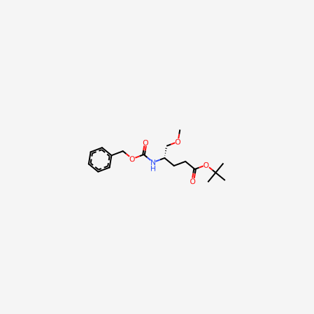 COC[C@H](CCC(=O)OC(C)(C)C)NC(=O)OCc1ccccc1